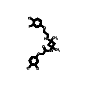 CC1(NCCOc2ccc(Cl)c(F)c2)CC(C)(NC(=O)COc2ccc(Cl)c(Cl)c2)C1